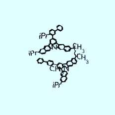 Cc1cc(-c2ccccc2)ccc1-c1cc2c3cc4cc(C(C)C)ccc4cc3n3c4cc5ccc(C(C)CCC(C)c6ccc7cc8c(cc7c6)c6cc(-c7cc(-c9ccccc9)ccc7C(C)C)cc7c9cc%10cc(C(C)C)ccc%10cc9n8c76)cc5cc4c(c1)c23